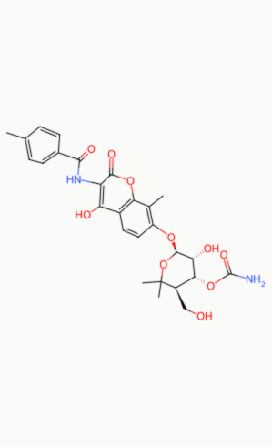 Cc1ccc(C(=O)Nc2c(O)c3ccc(O[C@@H]4OC(C)(C)[C@H](CO)[C@@H](OC(N)=O)[C@H]4O)c(C)c3oc2=O)cc1